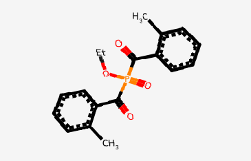 CCOP(=O)(C(=O)c1ccccc1C)C(=O)c1ccccc1C